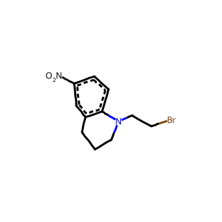 O=[N+]([O-])c1ccc2c(c1)CCCN2CCBr